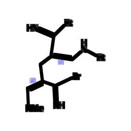 CCN/C=C(/C/C(=C/NC)C(=N)Br)C(=N)CC